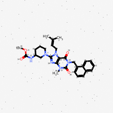 CC(C)=CCn1c(N2CCCC(NC(=O)OC(C)(C)C)C2)nc2c1c(=O)n(Cc1cccc3ccccc13)c(=O)n2C